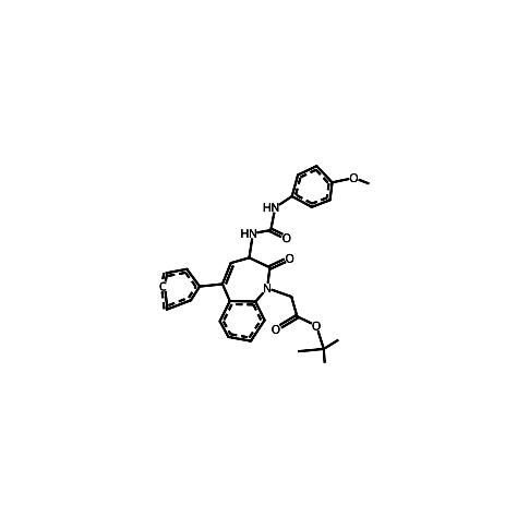 COc1ccc(NC(=O)NC2C=C(c3ccccc3)c3ccccc3N(CC(=O)OC(C)(C)C)C2=O)cc1